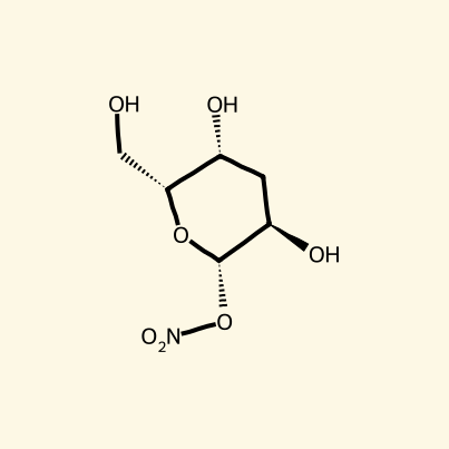 O=[N+]([O-])O[C@@H]1O[C@H](CO)[C@H](O)C[C@H]1O